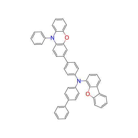 c1ccc(-c2ccc(N(c3ccc(-c4ccc5c(c4)Oc4ccccc4N5c4ccccc4)cc3)c3cccc4c3oc3ccccc34)cc2)cc1